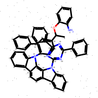 CC(Oc1ccccc1N)c1ccc(-n2c3ccccc3c3ccc4c5ccccc5n(-c5nc(-c6ccccc6)nc(-c6ccccc6)n5)c4c32)c(-c2ccccc2)c1